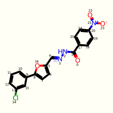 O=C(N/N=C/c1ccc(-c2cccc(Cl)c2)o1)c1ccc([N+](=O)[O-])cc1